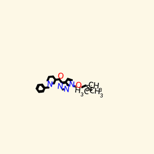 C[Si](C)(C)CCOCn1ccc2c(C(=O)C3CCCN(Cc4ccccc4)C3)ncnc21